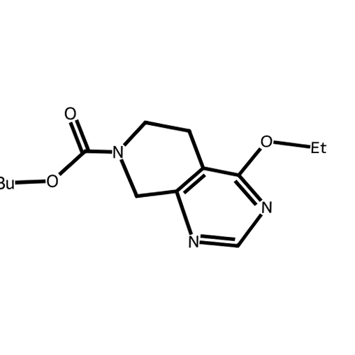 CCOc1ncnc2c1CCN(C(=O)OC(C)(C)C)C2